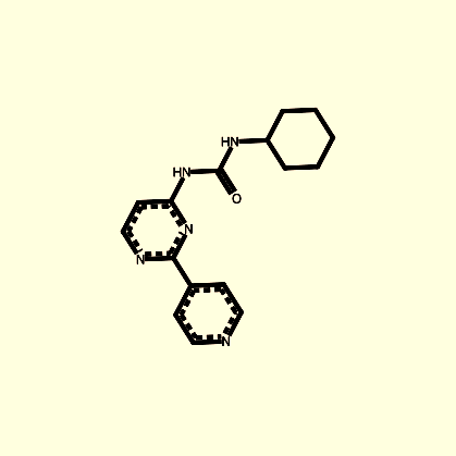 O=C(Nc1ccnc(-c2ccncc2)n1)NC1CCCCC1